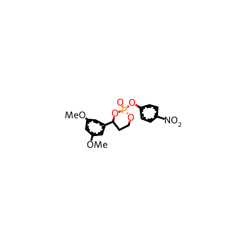 COc1cc(OC)cc(C2CCOP(=O)(Oc3ccc([N+](=O)[O-])cc3)O2)c1